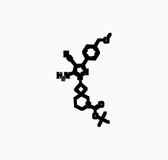 COCc1ccc(-c2nn([C@H]3C[C@@]4(CCCN(C(=O)OC(C)(C)C)C4)C3)c(N)c2C#N)cc1